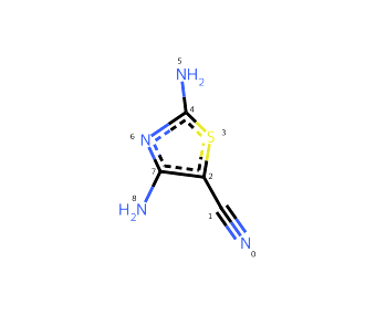 N#Cc1sc(N)nc1N